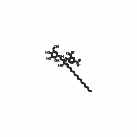 CCCCCCCCCCCCC/C=C/[C@@H](O)C(CNC1C=C(CO)C(O)C(O)[C@H]1O)Nc1ccc([N+](=O)[O-])cc1[N+](=O)[O-]